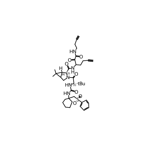 C#CCCNC(=O)C(=O)C(CCC#C)NC(=O)[C@@H]1[C@@H]2C(CN1C(=O)[C@@H](NC(=O)NC1(CS(=O)(=O)c3ccccc3)CCCCC1)C(C)(C)C)C2(C)C